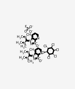 CN(C)C(N(C)C)=[N+]1N=[N+]([O-])c2ncccc21.CN(C)C(N(C)C)=[N+]1N=[N+]([O-])c2ncccc21.Cl[C@H]1[C@H](Cl)[C@@H](Cl)[C@@H](Cl)[C@H](Cl)[C@H]1Cl.O=P([O-])([O-])F